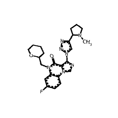 CN1CCCC1c1cn(-c2ncn3c2c(=O)n(CC2CCCCO2)c2cc(F)ccc23)nn1